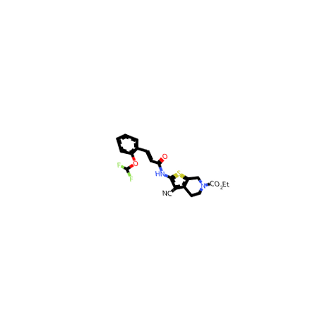 CCOC(=O)N1CCc2c(sc(NC(=O)C=Cc3ccccc3OC(F)F)c2C#N)C1